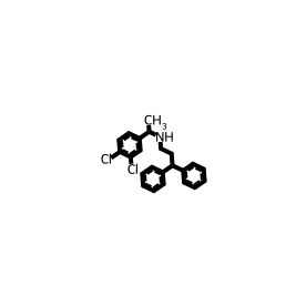 CC(NCCC(c1ccccc1)c1ccccc1)c1ccc(Cl)c(Cl)c1